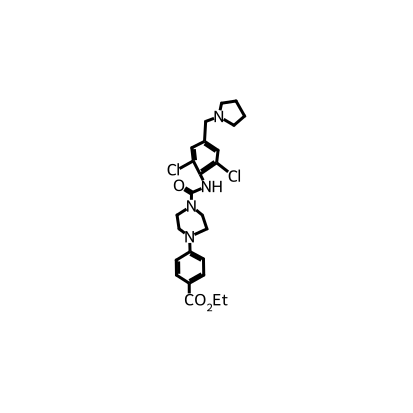 CCOC(=O)c1ccc(N2CCN(C(=O)Nc3c(Cl)cc(CN4CCCC4)cc3Cl)CC2)cc1